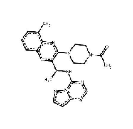 CC(=O)N1CCN(c2nc3c(C)cccc3cc2[C@H](C)Nc2ncnc3ccnn23)CC1